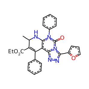 CCOC(=O)C1=C(c2ccccc2)c2c(n(-c3ccccc3)c(=O)n3c(-c4ccco4)nnc23)NC1C